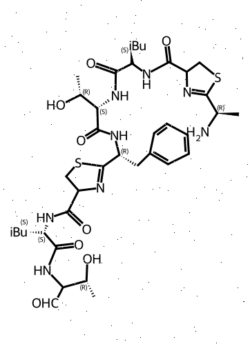 CC[C@H](C)C(NC(=O)C1CSC([C@@H](C)N)=N1)C(=O)N[C@H](C(=O)N[C@H](Cc1ccccc1)C1=NC(C(=O)N[C@H](C(=O)NC(C=O)[C@@H](C)O)[C@@H](C)CC)CS1)[C@@H](C)O